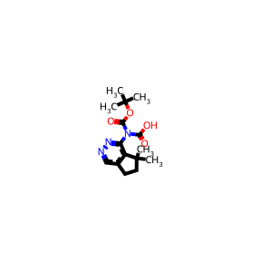 CC(C)(C)OC(=O)N(C(=O)O)c1nncc2c1C(C)(C)CC2